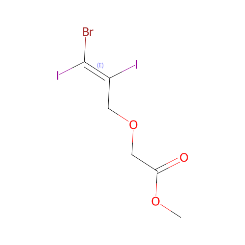 COC(=O)COC/C(I)=C(/Br)I